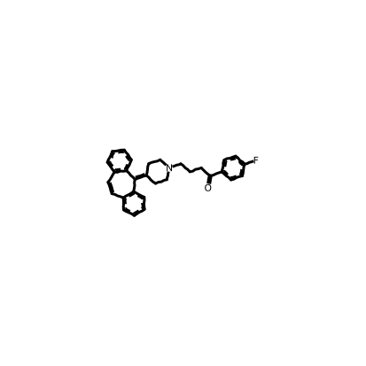 O=C(CCCN1CCC(=C2c3ccccc3C=Cc3ccccc32)CC1)c1ccc(F)cc1